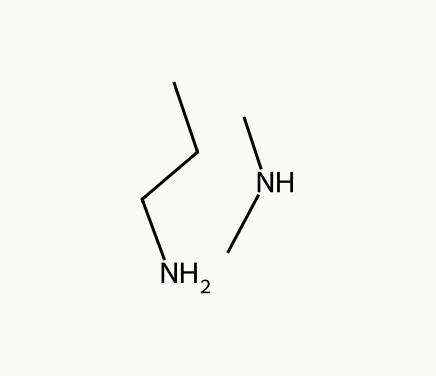 CCCN.CNC